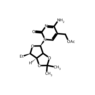 CC[C@H]1O[C@@H](n2cc(COC(C)=O)c(N)nc2=O)C2OC(C)(C)O[C@H]21